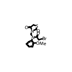 COc1ccccc1N(CN1C(=O)CSC1=O)C(=O)CBr